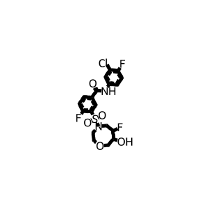 O=C(Nc1ccc(F)c(Cl)c1)c1ccc(F)c(S(=O)(=O)N2CCOCC(O)C(F)C2)c1